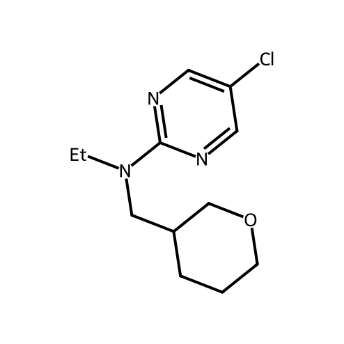 CCN(CC1CCCOC1)c1ncc(Cl)cn1